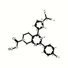 CC(C)(C)OC(=O)N1CCc2c(nc(-c3ccc(F)cc3)nc2-c2ccn(C(F)F)n2)C1